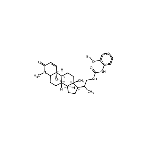 CCOc1ccccc1NC(=O)NCC(C)[C@H]1CC[C@H]2[C@@H]3CCC4N(C)C(=O)C=C[C@]4(C)[C@H]3CC[C@]12C